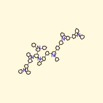 c1ccc(-c2cc(-c3cc(-n4c5ccccc5c5cc(-c6ccc7c(c6)c6ccccc6n7-c6ccccc6)ccc54)cc(-n4c5ccccc5c5ccc(-c6cccc(-c7cc(-c8ccc(-c9ccc(-n%10c%11ccccc%11c%11cc(-c%12ccc%13c(c%12)c%12ccccc%12n%13-c%12ccccc%12)ccc%11%10)cc9)cc8)cc(-c8ccccc8)n7)c6)cc54)c3)cc(-c3ccccc3)n2)cc1